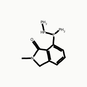 CN1Cc2cccc(P(P)PP)c2C1=O